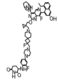 CCc1cccc2cc(O)cc(-c3ncc4c(N5CC6CCC(C5)N6)nc(OCC5(CN6CCC7(CC6)CC(F)(CN6CCN(c8ccc(NC9CCC(=O)NC9=O)c(F)c8)CC6)C7)CC5)nc4c3F)c12